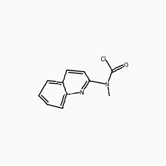 CN(C(=O)Cl)c1ccc2ccccc2n1